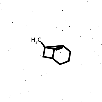 CC12CC3CCCC1=C32